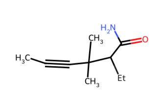 CC#CC(C)(C)C(CC)C(N)=O